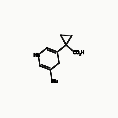 CC(C)(C)C1=CNC=C(C2(C(=O)O)CC2)C1